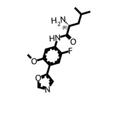 COc1cc(NC(=O)[C@H](N)CC(C)C)c(F)cc1-c1cnco1